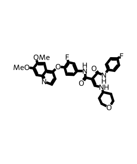 COc1cc2nccc(Oc3ccc(NC(=O)/C(=C/NC4CCOCC4)C(=O)Nc4ccc(F)cc4)cc3F)c2cc1OC